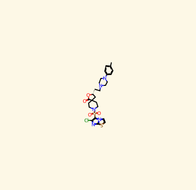 Cc1ccc(N2CCN(CC[C@@H]3CC4(CCN(S(=O)(=O)c5c(Cl)nc6sccn56)CC4)C(=O)O3)CC2)cc1